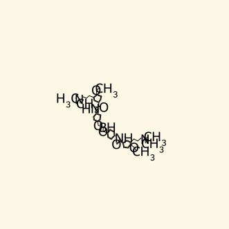 COc1ccc(C(=O)Nc2ccc(OBOc3ccc(NC(=O)c4ccc(OC)c(CCCN(C)C)c4)cc3)cc2)cc1CCCN(C)C